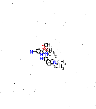 CCc1ccc(N(c2[nH]c3cc(C#N)ccc3c2C(=O)OC)C(C)C)cc1C1CCN(C(C)C)CC1